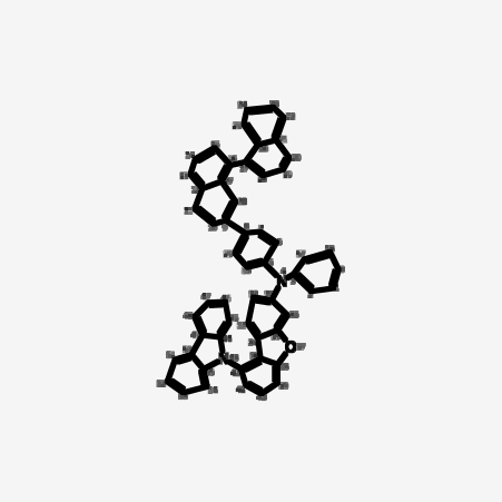 c1ccc(N(c2ccc(-c3ccc4cccc(-c5cccc6ccccc56)c4c3)cc2)c2ccc3c(c2)oc2cccc(-n4c5ccccc5c5ccccc54)c23)cc1